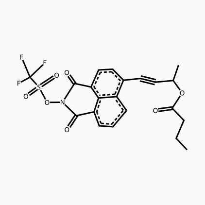 CCCC(=O)OC(C)C#Cc1ccc2c3c(cccc13)C(=O)N(OS(=O)(=O)C(F)(F)F)C2=O